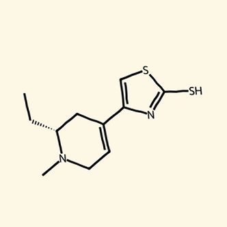 CC[C@@H]1CC(c2csc(S)n2)=CCN1C